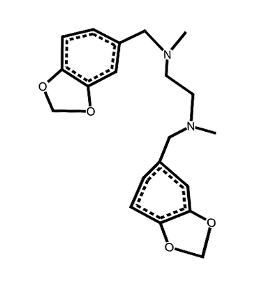 CN(CCN(C)Cc1ccc2c(c1)OCO2)Cc1ccc2c(c1)OCO2